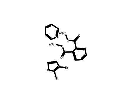 CCCCCCCCOC(=O)c1ccccc1C(=O)OCCCCCCCC.CCc1cc[nH]c1CC.c1ccncc1